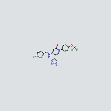 Cn1cc(-c2cn(-c3ccc(OC(F)(F)F)cc3)c(=O)cc2NCc2ccc(F)cc2)cn1